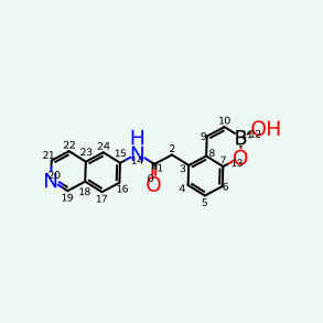 O=C(Cc1cccc2c1C=CB(O)O2)Nc1ccc2cnccc2c1